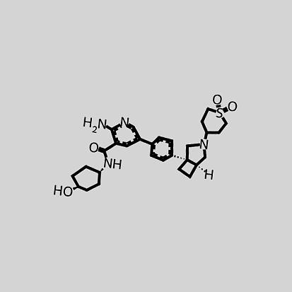 Nc1ncc(-c2ccc([C@@]34CC[C@@H]3CN(C3CCS(=O)(=O)CC3)C4)cc2)cc1C(=O)N[C@H]1CC[C@H](O)CC1